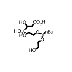 CCCCN(OCCO)OCCO.O=C(O)CC(O)C(=O)O